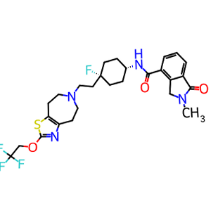 CN1Cc2c(C(=O)N[C@H]3CC[C@](F)(CCN4CCc5nc(OCC(F)(F)F)sc5CC4)CC3)cccc2C1=O